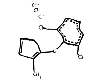 CC1=C(Oc2c(Cl)cccc2Cl)CC=C1.[Cl-].[Cl-].[Ti+2]